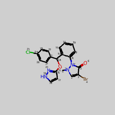 Cn1cc(Br)c(=O)n1-c1ccccc1C(Oc1cc[nH]n1)c1ccc(Cl)cc1